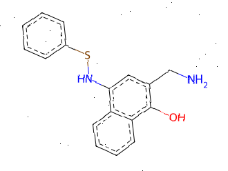 NCc1cc(NSc2ccccc2)c2ccccc2c1O